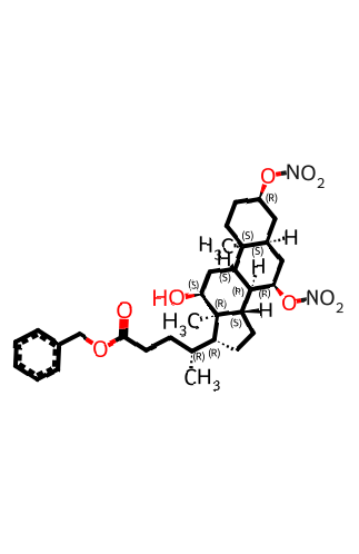 C[C@H](CCC(=O)OCc1ccccc1)[C@H]1CC[C@H]2[C@@H]3[C@H](O[N+](=O)[O-])C[C@@H]4C[C@H](O[N+](=O)[O-])CC[C@]4(C)[C@H]3C[C@H](O)[C@]12C